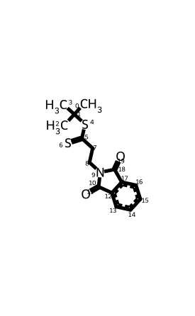 CC(C)(C)SC(=S)CCN1C(=O)c2ccccc2C1=O